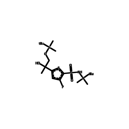 CC(O)(CO[Si](C)(C)C(C)(C)C)c1cc(F)c(S(=O)(=O)N[Si](C)(C)C(C)(C)C)s1